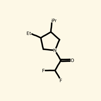 CCC1CN(C(=O)C(F)F)CC1C(C)C